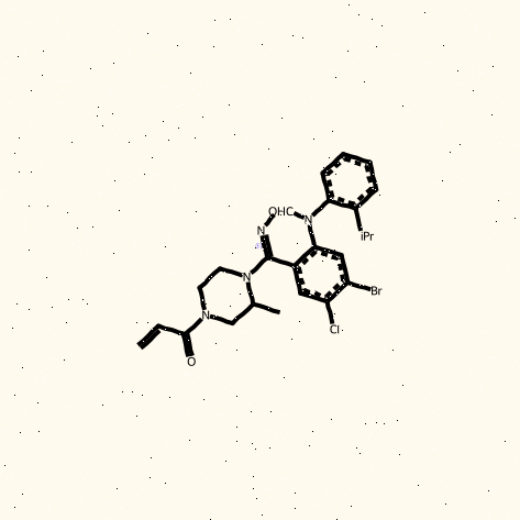 C=CC(=O)N1CCN(/C(=N/C)c2cc(Cl)c(Br)cc2N(C=O)c2ccccc2C(C)C)C(C)C1